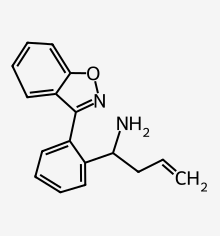 C=CCC(N)c1ccccc1-c1noc2ccccc12